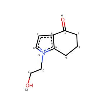 O=C1CCCc2c1ccn2CCO